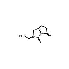 O=C(O)CN1CC2CCC(=O)N2C1=O